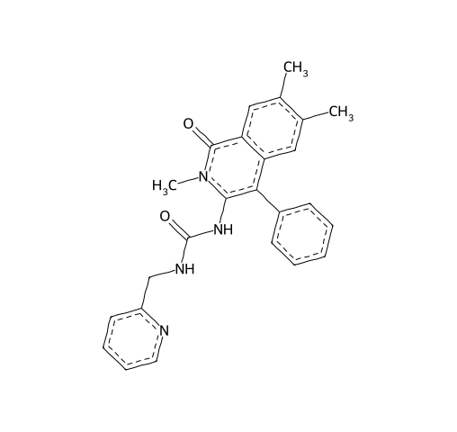 Cc1cc2c(-c3ccccc3)c(NC(=O)NCc3ccccn3)n(C)c(=O)c2cc1C